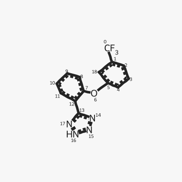 FC(F)(F)c1cccc(Oc2ccccc2-c2nn[nH]n2)c1